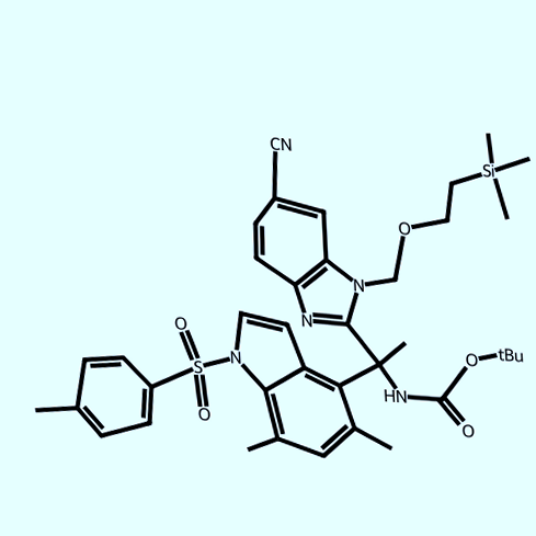 Cc1ccc(S(=O)(=O)n2ccc3c(C(C)(NC(=O)OC(C)(C)C)c4nc5ccc(C#N)cc5n4COCC[Si](C)(C)C)c(C)cc(C)c32)cc1